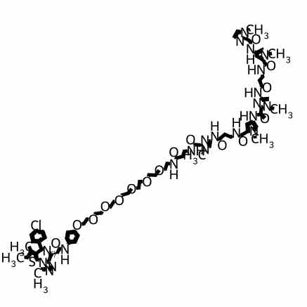 Cc1sc2c(c1C)C(c1ccc(Cl)cc1)=N[C@@H](CC(=O)Nc1ccc(OCCOCCOCCOCCOCCOCCOCCNC(=O)CCNC(=O)c3nc(NC(=O)CCNC(=O)c4cc(NC(=O)c5nc(NC(=O)CCNC(=O)c6cc(NC(=O)c7nccn7C)cn6C)cn5C)cn4C)cn3C)cc1)c1nnc(C)n1-2